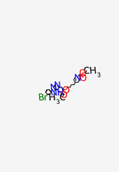 CCOC(=O)CN1CCC(CCCCOc2cc3ncnc(Nc4cccc(Br)c4)c3cc2OC)CC1